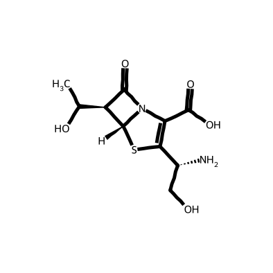 CC(O)[C@H]1C(=O)N2C(C(=O)O)=C([C@H](N)CO)S[C@H]12